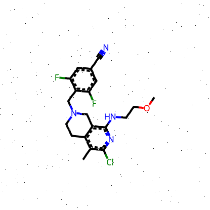 COCCNc1nc(Cl)c(C)c2c1CN(Cc1c(F)cc(C#N)cc1F)CC2